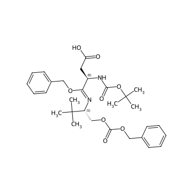 CC(C)(C)OC(=O)N[C@H](CC(=O)O)C(=N[C@H](COC(=O)OCc1ccccc1)C(C)(C)C)OCc1ccccc1